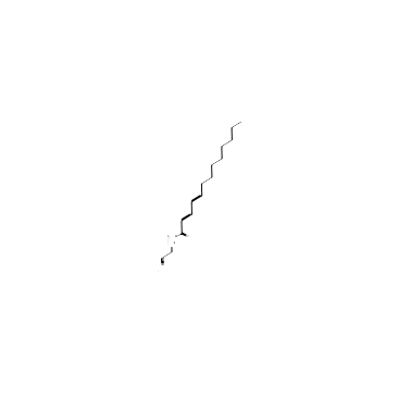 CCCCCCCC/C=C/C=C/C(=O)NC[C]=O